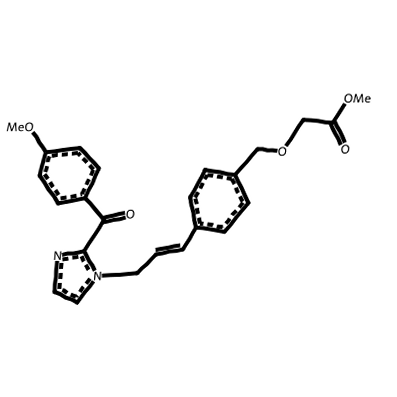 COC(=O)COCc1ccc(/C=C/Cn2ccnc2C(=O)c2ccc(OC)cc2)cc1